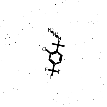 CC(C)(N=[N+]=[N-])c1ccc(C(F)(F)F)cc1Cl